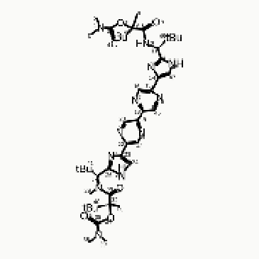 CN(C)C(=O)OC(C)(C(=O)N[C@H](c1nc(-c2cnc(-c3cnc(-c4c[nH]c([C@@H](N(C)C(=O)[C@](C)(OC(=O)N(C)C)C(C)(C)C)C(C)(C)C)n4)cn3)cn2)c[nH]1)C(C)(C)C)C(C)(C)C